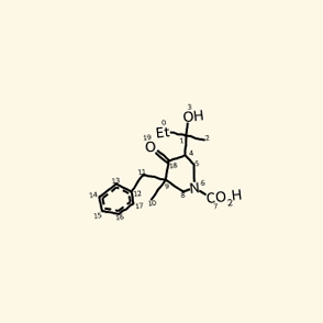 CCC(C)(O)C1CN(C(=O)O)CC(C)(Cc2ccccc2)C1=O